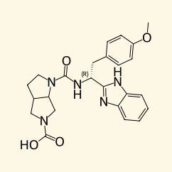 COc1ccc(C[C@@H](NC(=O)N2CCC3CN(C(=O)O)CC32)c2nc3ccccc3[nH]2)cc1